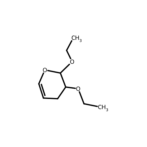 CCOC1CC=COC1OCC